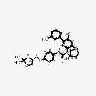 CC1(C)OC[C@@H](COc2ncc(NC(=O)N3c4nc(-c5cccc(C(F)(F)F)c5)c(Cl)cc4N4CC[C@H]3C4)cn2)O1